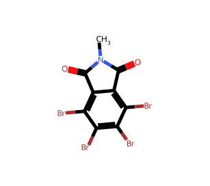 CN1C(=O)c2c(Br)c(Br)c(Br)c(Br)c2C1=O